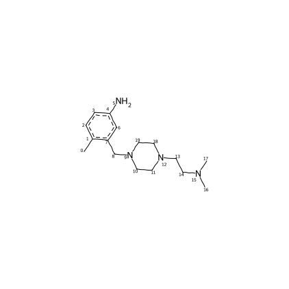 Cc1ccc(N)cc1CN1CCN(CCN(C)C)CC1